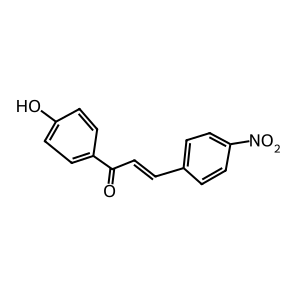 O=C(/C=C/c1ccc([N+](=O)[O-])cc1)c1ccc(O)cc1